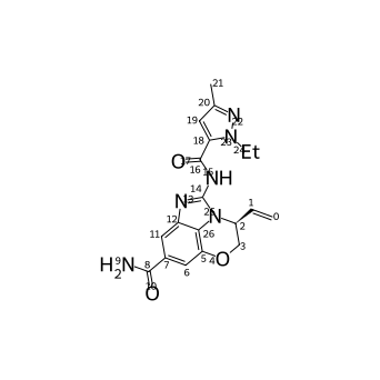 C=C[C@H]1COc2cc(C(N)=O)cc3nc(NC(=O)c4cc(C)nn4CC)n1c23